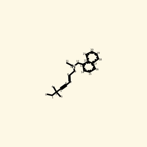 CCC(C)(C)C#CC=CCN(C)Cc1cccc2ccccc12